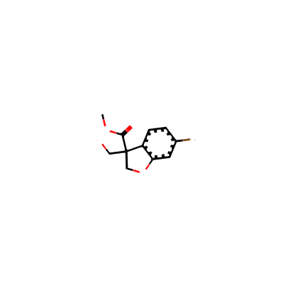 COC(=O)C1(CO)COc2cc(Br)ccc21